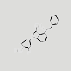 Cc1cn(-c2ccc(O)c(F)c2)c2cccc(CCc3ccccc3)c12